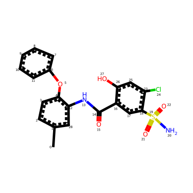 Cc1ccc(Oc2ccccc2)c(NC(=O)c2cc(S(N)(=O)=O)c(Cl)cc2O)c1